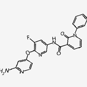 Nc1cc(Oc2ncc(NC(=O)c3cccn(-c4ccccc4)c3=O)cc2F)ccn1